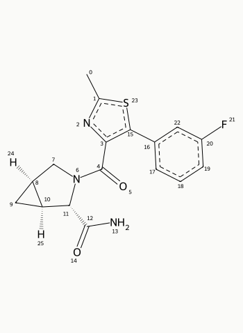 Cc1nc(C(=O)N2C[C@@H]3C[C@@H]3[C@H]2C(N)=O)c(-c2cccc(F)c2)s1